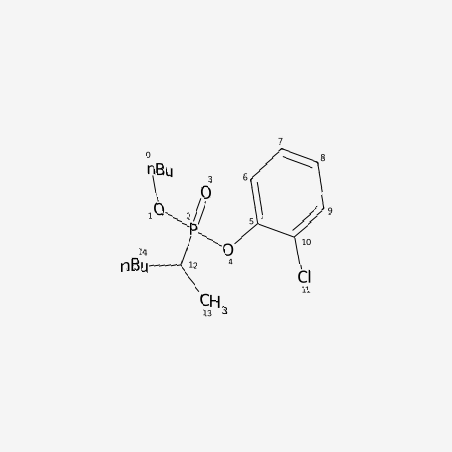 CCCCOP(=O)(Oc1ccccc1Cl)C(C)CCCC